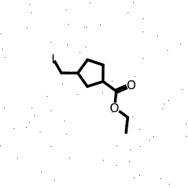 CCOC(=O)C1CCC(CI)C1